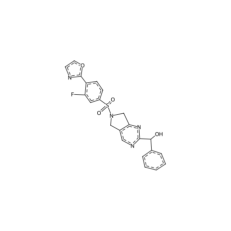 O=S(=O)(c1ccc(-c2ncco2)c(F)c1)N1Cc2cnc(C(O)c3ccccc3)nc2C1